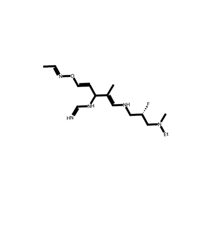 C/C=N/O/C=C/C(NC=N)/C(C)=C/NC[C@H](F)CN(C)CC